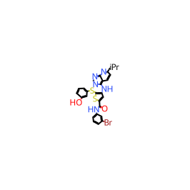 CC(C)c1ccc2c(Nc3cc(C(=O)Nc4cccc(Br)c4)sc3Sc3cccc(O)c3)ncnc2n1